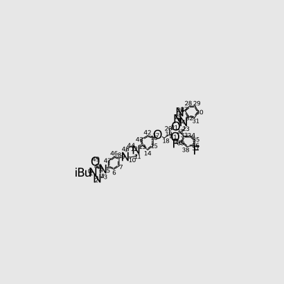 CCC(C)n1ncn(-c2ccc(N3CCN(c4ccc(OCC5COC(Cn6nnc7ccccc76)(c6ccc(F)cc6F)O5)cc4)CC3)cc2)c1=O